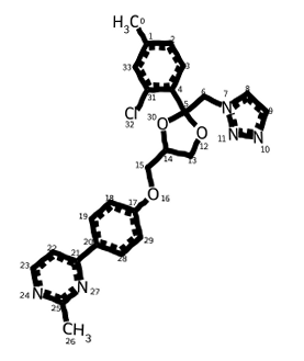 Cc1ccc(C2(Cn3ccnn3)OCC(COc3ccc(-c4ccnc(C)n4)cc3)O2)c(Cl)c1